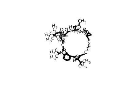 CC[C@@H]1C[C@@]12NC(=O)[C@@H]1C[C@@H](Cc3nc4c(cccc4n3C(C)C)-c3nc(C(C)C)c(s3)CCCCCCC3(CC3)S(=O)(=O)NC2=O)CN1C(=O)[C@@H](C)C(C)(C)C